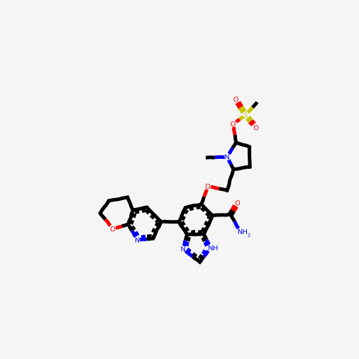 CN1C(COc2cc(-c3cnc4c(c3)CCCO4)c3nc[nH]c3c2C(N)=O)CCC1OS(C)(=O)=O